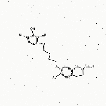 CCCc1c(OCCCCOc2cc3c(cc2C(C)=O)CCC(C(=O)OCC)O3)ccc(C(C)=O)c1O